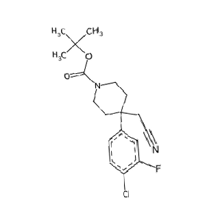 CC(C)(C)OC(=O)N1CCC(CC#N)(c2ccc(Cl)c(F)c2)CC1